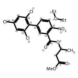 CCOCC.COC(=O)CC(C)OC(=O)c1cc(-c2c(Cl)cc(Cl)cc2Cl)ccc1[N+](=O)[O-]